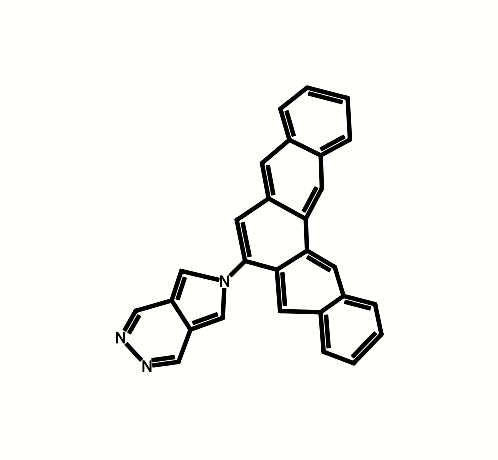 c1ccc2cc3c(cc(-n4cc5cnncc5c4)c4cc5ccccc5cc43)cc2c1